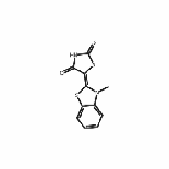 CN1/C(=C2\SC(=S)NC2=O)Sc2ccccc21